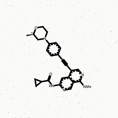 CNc1ncc(C#Cc2ccc(N3CCO[C@H](C)C3)cc2)c2cc(NC(=O)C3CC3)ncc12